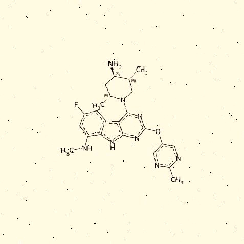 CNc1cc(F)cc2c1[nH]c1nc(Oc3cnc(C)nc3)nc(N3C[C@@H](C)[C@H](N)C[C@H]3C)c12